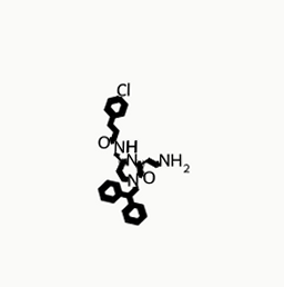 NCC[C@@H]1N[C@H](CNC(=O)CCc2ccc(Cl)cc2)CCN(CC(c2ccccc2)c2ccccc2)C1=O